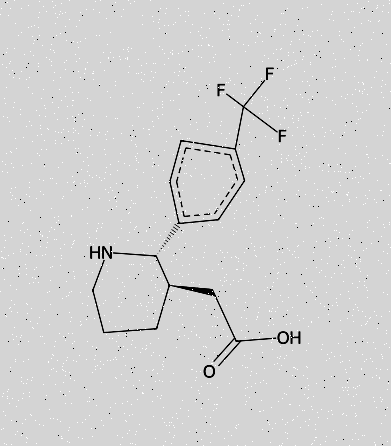 O=C(O)C[C@H]1CCCN[C@@H]1c1ccc(C(F)(F)F)cc1